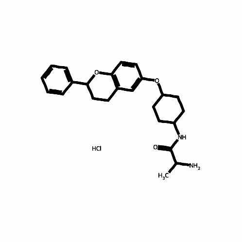 CC(N)C(=O)NC1CCC(Oc2ccc3c(c2)CCC(c2ccccc2)O3)CC1.Cl